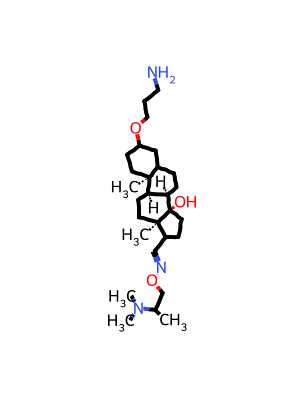 CC(CO/N=C/C1CC[C@@]2(O)[C@@H]3CCC4CC(OCCCN)CC[C@]4(C)[C@@H]3CC[C@]12C)N(C)C